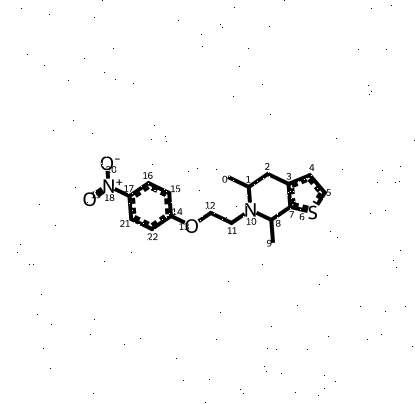 CC1Cc2ccsc2C(C)N1CCOc1ccc([N+](=O)[O-])cc1